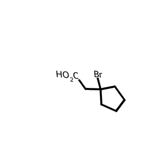 O=C(O)CC1(Br)CCCC1